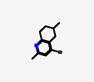 CCc1cc(C)nc2c1CC(C)CC2